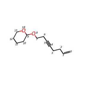 C=CCCC#CCCOC1CCCCO1